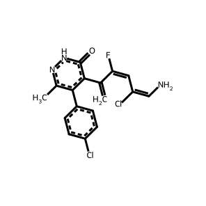 C=C(/C(F)=C\C(Cl)=C/N)c1c(-c2ccc(Cl)cc2)c(C)n[nH]c1=O